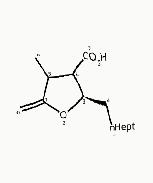 C=C1O[C@H](CCCCCCCC)C(C(=O)O)C1C